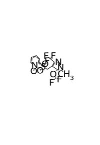 CC1(OC(F)F)N=NC(C(F)(F)F)=C1CS(=O)(=O)c1cccc[n+]1[O-]